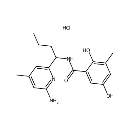 CCCC(NC(=O)c1cc(O)cc(C)c1O)c1cc(C)cc(N)n1.Cl